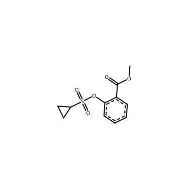 COC(=O)c1ccccc1OS(=O)(=O)C1CC1